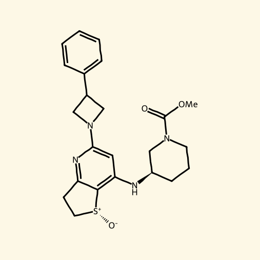 COC(=O)N1CCC[C@@H](Nc2cc(N3CC(c4ccccc4)C3)nc3c2[S@+]([O-])CC3)C1